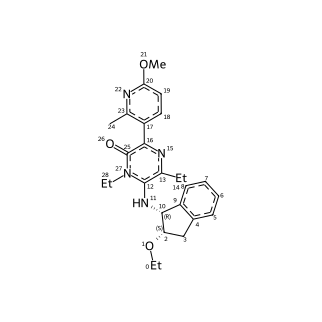 CCO[C@H]1Cc2ccccc2[C@H]1Nc1c(CC)nc(-c2ccc(OC)nc2C)c(=O)n1CC